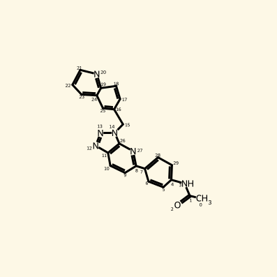 CC(=O)Nc1ccc(-c2ccc3nnn(Cc4ccc5ncccc5c4)c3n2)cc1